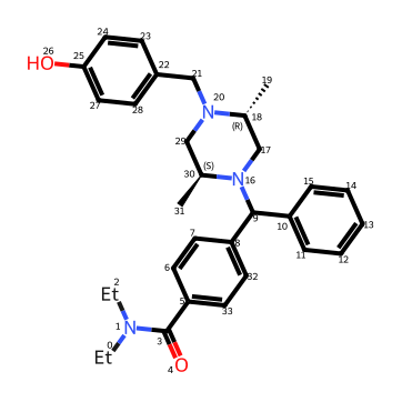 CCN(CC)C(=O)c1ccc(C(c2ccccc2)N2C[C@@H](C)N(Cc3ccc(O)cc3)C[C@@H]2C)cc1